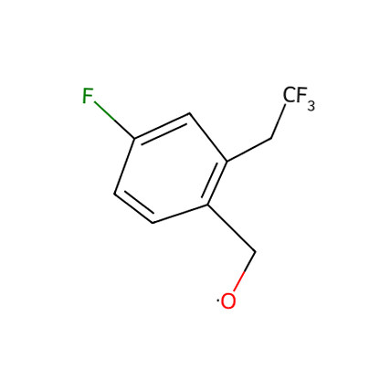 [O]Cc1ccc(F)cc1CC(F)(F)F